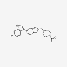 CC(=O)N1CCC(Cn2cc3cc(-c4c[nH]c5cc(F)ccc45)ccc3n2)CC1